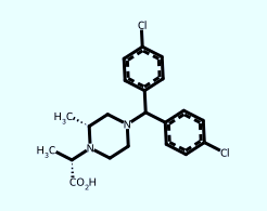 C[C@@H]1CN(C(c2ccc(Cl)cc2)c2ccc(Cl)cc2)CCN1[C@@H](C)C(=O)O